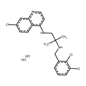 CC(C)(CNc1ccnc2cc(Cl)ccc12)NCc1cccc(Cl)c1Cl.Cl.Cl